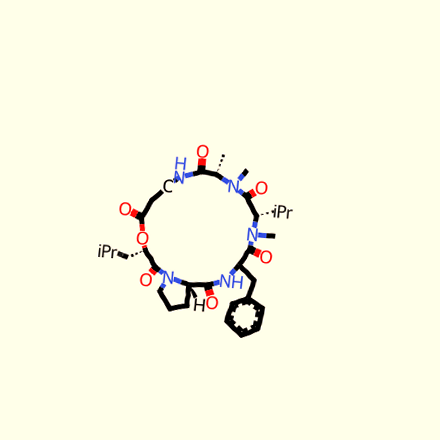 CC(C)C[C@@H]1OC(=O)CCNC(=O)[C@H](C)N(C)C(=O)[C@H](C(C)C)N(C)C(=O)C(Cc2ccccc2)NC(=O)[C@@H]2CCCN2C1=O